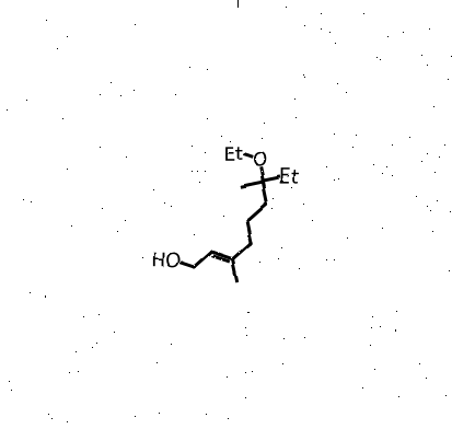 CCOC(C)(CC)CCCC(C)=CCO